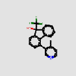 Cc1ccncc1-c1cccc2c1-c1ccccc1C2(O)C(F)(F)F